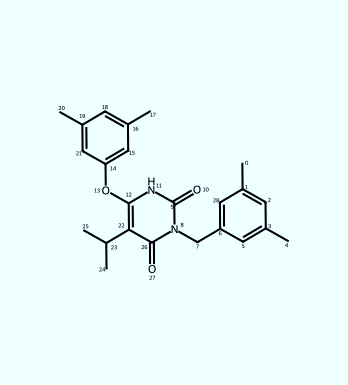 Cc1cc(C)cc(Cn2c(=O)[nH]c(Oc3cc(C)cc(C)c3)c(C(C)C)c2=O)c1